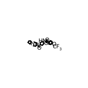 O=C([C@H]1CC[C@H](NS(=O)(=O)c2ccc(OC(F)(F)F)cc2)CC1)N1CCN(C2CCCC2)CC1